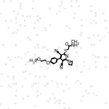 CNC(=O)CSc1nc(N2CCC2)c(C#N)c(-c2ccc(OCCOC)cc2)c1C#N